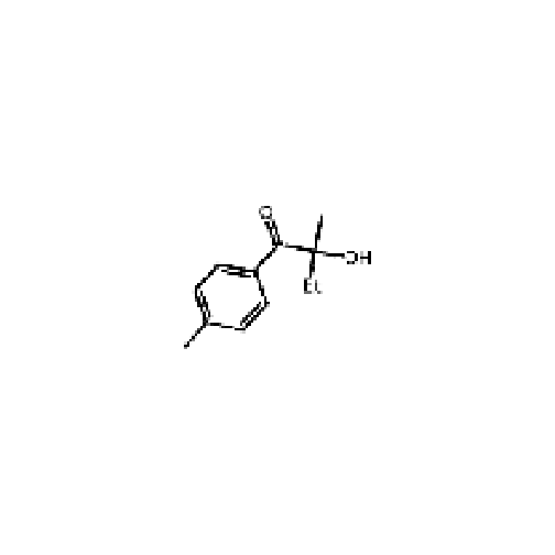 CCC(C)(O)C(=O)c1ccc(C)cc1